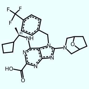 C[C@@H](Nc1nc(C(=O)O)nc2nc(N3CC4CCC(C3)O4)n(Cc3ccc(C(F)(F)F)cc3)c12)C1CCC1